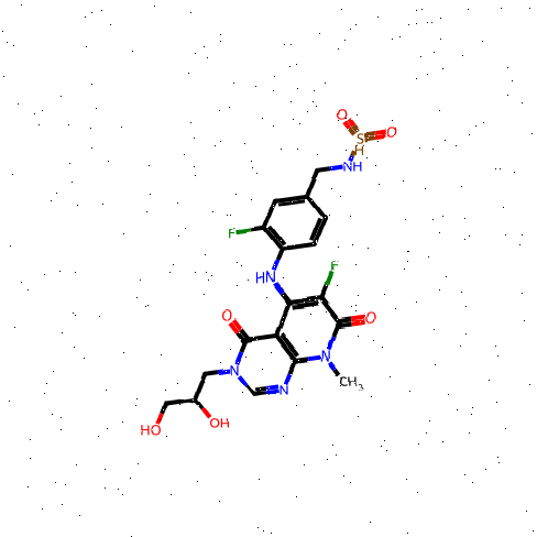 Cn1c(=O)c(F)c(Nc2ccc(CN[SH](=O)=O)cc2F)c2c(=O)n(CC(O)CO)cnc21